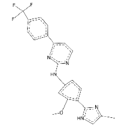 COc1cc(Nc2nccc(-c3ccc(C(F)(F)F)cc3)n2)ccc1-c1nc(C)c[nH]1